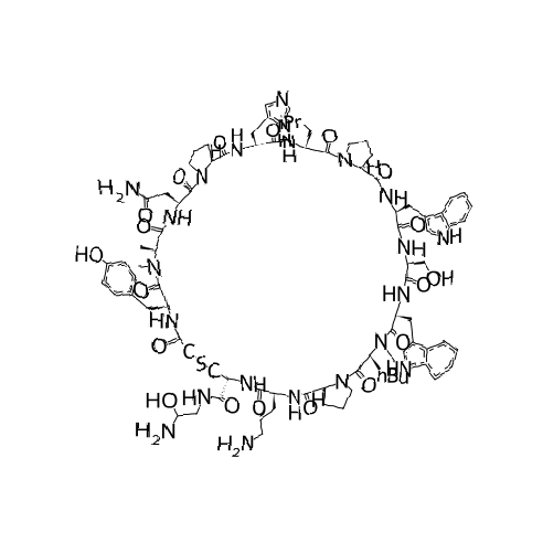 CCCC[C@H]1C(=O)N2CCC[C@@H]2C(=O)N[C@@H](CCCN)C(=O)N[C@H](C(=O)NCC(N)O)CSCC(=O)N[C@@H](Cc2ccc(O)cc2)C(=O)N(C)[C@@H](C)C(=O)N[C@@H](CC(N)=O)C(=O)N2CCC[C@H]2C(=O)N[C@@H](Cc2cnc[nH]2)C(=O)N[C@@H](CC(C)C)C(=O)N2CCC[C@H]2C(=O)N[C@@H](Cc2c[nH]c3ccccc23)C(=O)N[C@@H](CO)C(=O)N[C@@H](Cc2c[nH]c3ccccc23)C(=O)N1C